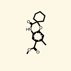 COC(=O)c1cc2c(cc1C)OC1(CCCCC1)C(=O)N2